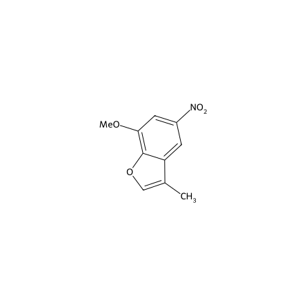 COc1cc([N+](=O)[O-])cc2c(C)coc12